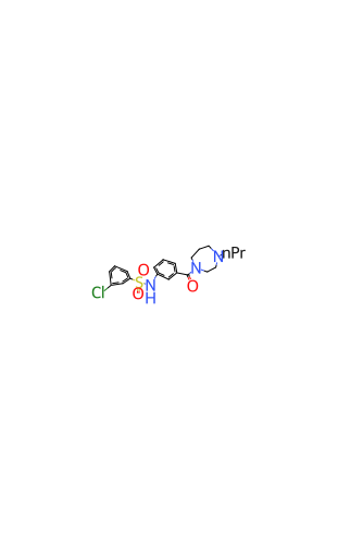 CCCN1CCCN(C(=O)c2cccc(NS(=O)(=O)c3cccc(Cl)c3)c2)CC1